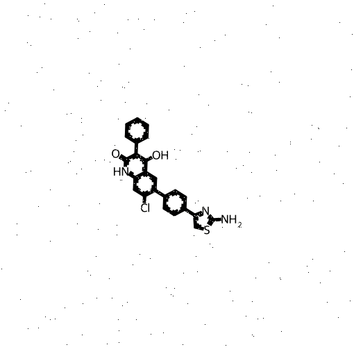 Nc1nc(-c2ccc(-c3cc4c(O)c(-c5ccccc5)c(=O)[nH]c4cc3Cl)cc2)cs1